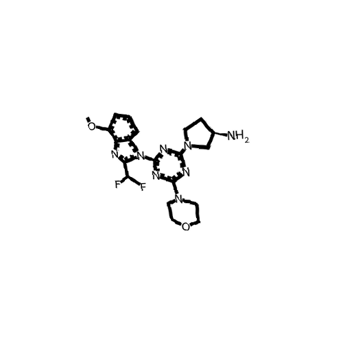 COc1cccc2c1nc(C(F)F)n2-c1nc(N2CCOCC2)nc(N2CC[C@@H](N)C2)n1